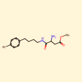 CC(C)(C)OC(=O)CC(N)C(=O)NCCCCc1ccc(C#N)cc1